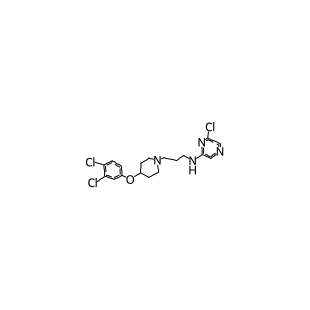 Clc1cncc(NCCCN2CCC(Oc3ccc(Cl)c(Cl)c3)CC2)n1